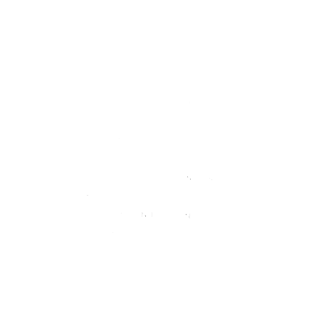 CC(NC(=O)OC(C)(C)C)c1nc2cccc(F)c2c(=O)n1-c1cc(Cl)cc(Cl)c1